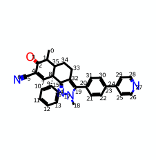 CC1C(=O)C(C#N)=C[C@]2(c3ccccc3)c3nn(C)c(-c4ccc(-c5ccncc5)cc4)c3CCC12